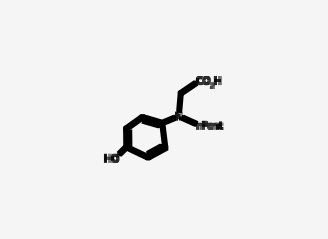 CCCCCN(CC(=O)O)c1ccc(O)cc1